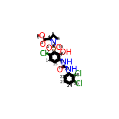 COC(=O)C1CCN1S(=O)(=O)c1c(Cl)ccc(NC(=O)Nc2cccc(Cl)c2Cl)c1O